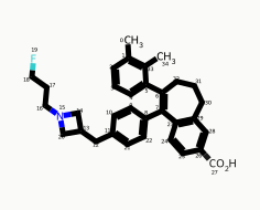 Cc1cccc(C2=C(c3ccc(CC4CN(CCCF)C4)cc3)c3ccc(C(=O)O)cc3CCC2)c1C